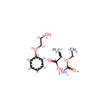 C=CC(=O)O.CCOC(N)=O.OCCOc1ccccc1